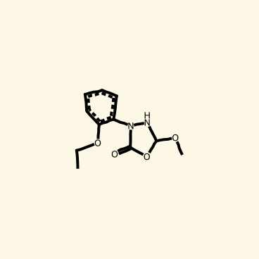 CCOc1ccccc1N1NC(OC)OC1=O